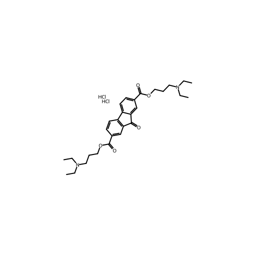 CCN(CC)CCCOC(=O)c1ccc2c(c1)C(=O)c1cc(C(=O)OCCCN(CC)CC)ccc1-2.Cl.Cl